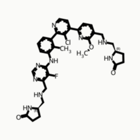 COc1nc(-c2ccnc(-c3cccc(Nc4ncnc(CNC[C@H]5CCC(=O)N5)c4F)c3C)c2Cl)ccc1CNC[C@H]1CCC(=O)N1